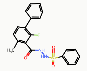 Cc1ccc(-c2ccccc2)c(F)c1C(=O)NNS(=O)(=O)c1ccccc1